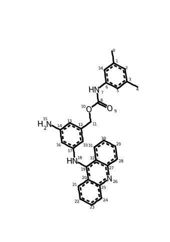 Cc1cc(C)cc(NC(=O)OCc2cc(N)cc(Nc3c4ccccc4nc4ccccc34)c2)c1